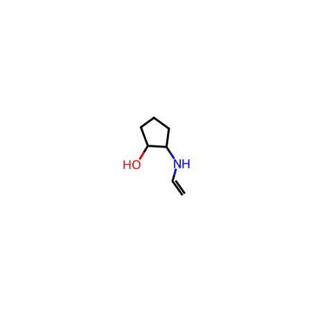 C=CNC1CCCC1O